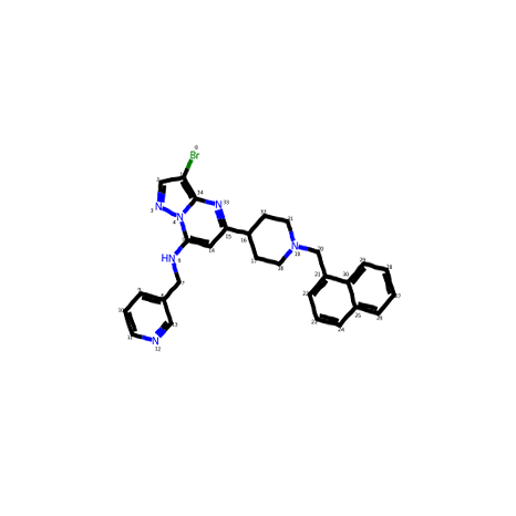 Brc1cnn2c(NCc3cccnc3)cc(C3CCN(Cc4cccc5ccccc45)CC3)nc12